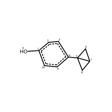 Oc1ccc(C23CC2C3)cc1